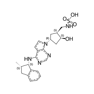 C[C@H]1Cc2ccccc2[C@H]1Nc1ncnc2c1ccn2[C@@H]1C[C@@H](CNS(=O)(=O)O)[C@@H](O)C1